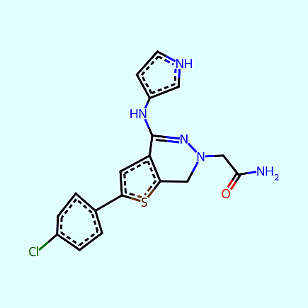 NC(=O)CN1Cc2sc(-c3ccc(Cl)cc3)cc2C(Nc2cc[nH]c2)=N1